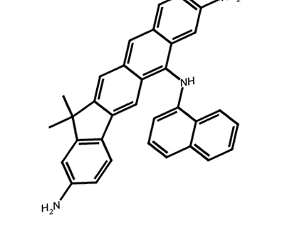 CC1(C)c2cc(N)ccc2-c2cc3c(Nc4cccc5ccccc45)c4cc(N)ccc4cc3cc21